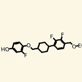 CCOCc1ccc(C2CCC(COc3ccc(O)cc3F)CC2)c(F)c1F